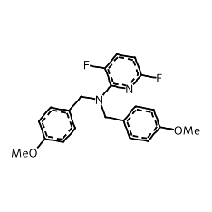 COc1ccc(CN(Cc2ccc(OC)cc2)c2nc(F)ccc2F)cc1